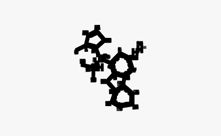 CC1=[C]([Ti+2]([c]2cccc3c2Cc2ccccc2-3)[SiH](C)C)CC=C1.[H-].[H-]